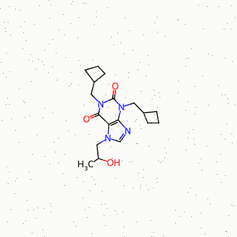 CC(O)Cn1cnc2c1c(=O)n(CC1CCC1)c(=O)n2CC1CCC1